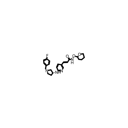 O=C(C=Cc1ccc(N[C@@H]2CCN(Cc3ccc(F)cc3)C2)nc1)NOC1CCCCO1